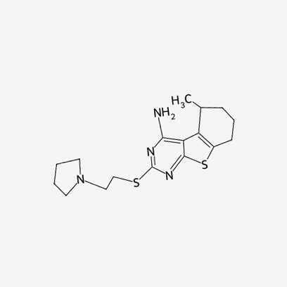 CC1CCCc2sc3nc(SCCN4CCCC4)nc(N)c3c21